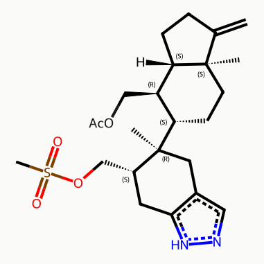 C=C1CC[C@H]2[C@H](COC(C)=O)[C@@H]([C@@]3(C)Cc4cn[nH]c4C[C@@H]3COS(C)(=O)=O)CC[C@]12C